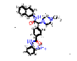 CN1CCN(C(C(=O)Nc2ccc3ccccc3c2)c2ccc(C(=O)Nc3ccccc3N)cc2)CC1